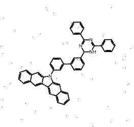 c1ccc(C2=NC(c3cccc(-c4cccc(-n5c6cc7ccccc7cc6c6cc7ccccc7cc65)c4)c3)NC(c3ccccc3)=N2)cc1